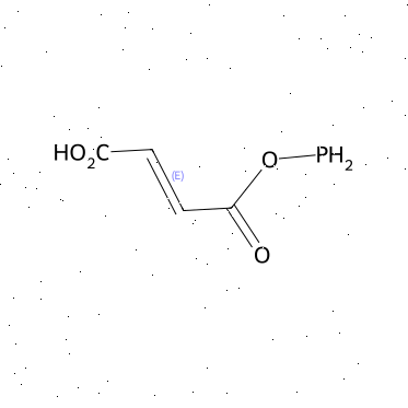 O=C(O)/C=C/C(=O)OP